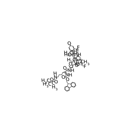 C[C@@H]1C[C@H]2[C@@H]3C[C@H](F)C4=CC(=O)C=C[C@]4(C)[C@@]3(F)[C@@H](O)C[C@]2(C)[C@@]1(OC(=O)c1cc(NC(=O)[C@H](CCCCNC(=O)OC(C)(C)C)NC(=O)OCC2c3ccccc3-c3ccccc32)co1)C(=O)SCF